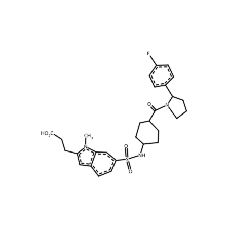 Cn1c(CCC(=O)O)cc2ccc(S(=O)(=O)NC3CCC(C(=O)N4CCCC4c4ccc(F)cc4)CC3)cc21